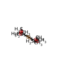 CCOC(C)(OCC)[SiH2]CCCSSSCCC[SiH2]C(C)(OCC)OCC